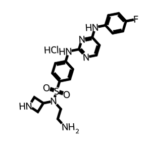 Cl.NCCN(C1CNC1)S(=O)(=O)c1ccc(Nc2nccc(Nc3ccc(F)cc3)n2)cc1